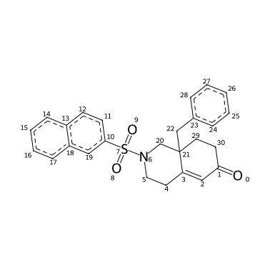 O=C1C=C2CCN(S(=O)(=O)c3ccc4ccccc4c3)CC2(Cc2ccccc2)CC1